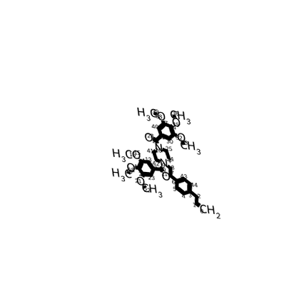 C=CCc1ccc(CC[N+]2(C(=O)c3cc(OC)c(OC)c(OC)c3)CCN(C(=O)c3cc(OC)c(OC)c(OC)c3)CC2)cc1